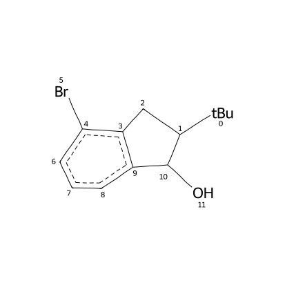 CC(C)(C)C1Cc2c(Br)cccc2C1O